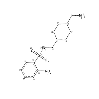 NCC1CCC(CNS(=O)(=O)c2ccccc2[N+](=O)[O-])CC1